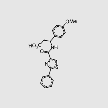 COc1ccc([C@H](CC(=O)O)NC(=O)c2csc(-c3ccccc3)n2)cc1